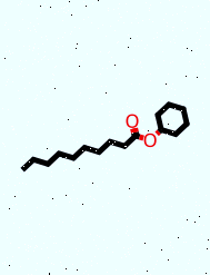 CCCCCCCCCC(=O)OC1CCCCC1